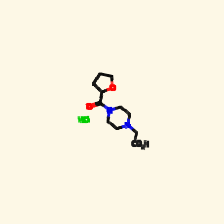 Cl.O=C(O)CN1CCN(C(=O)C2CCCO2)CC1